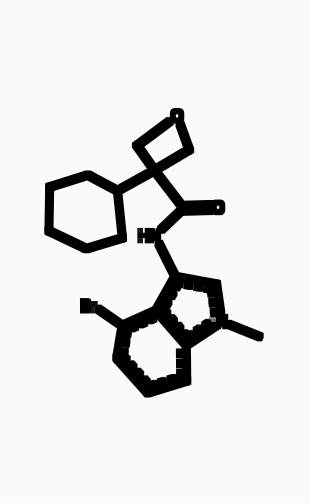 Cn1cc(NC(=O)C2(C3CCCCC3)COC2)c2c(Br)cccc21